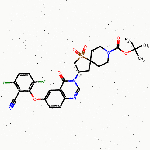 CC(C)(C)OC(=O)N1CCC2(CC1)C[C@@H](n1cnc3ccc(Oc4c(F)ccc(F)c4C#N)cc3c1=O)CS2(=O)=O